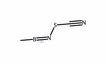 C/B=N/SC#N